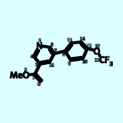 C=C(OC)c1cncc(-c2ccc(OC(F)(F)F)cc2)c1